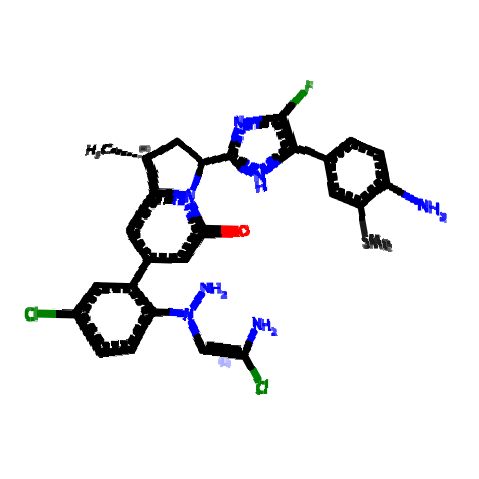 CSc1cc(-c2[nH]c(C3C[C@@H](C)c4cc(-c5cc(Cl)ccc5N(N)/C=C(\N)Cl)cc(=O)n43)nc2F)ccc1N